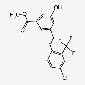 COC(=O)c1cc(O)cc(CSc2ccc(Cl)cc2C(F)(F)F)c1